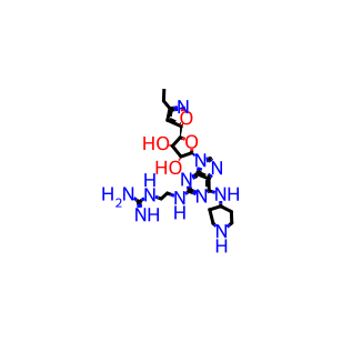 CCc1cc([C@H]2O[C@@H](n3cnc4c(NC5CCNCC5)nc(NCCNC(=N)N)nc43)[C@H](O)[C@@H]2O)on1